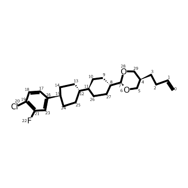 C=CCC[C@H]1CO[C@H]([C@H]2CC[C@H]([C@H]3CC[C@H](c4ccc(Cl)c(F)c4)CC3)CC2)OC1